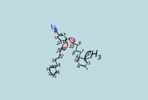 Cc1ccccc1CCCCOc1cc(C#N)ccc1OCCCCc1ccccc1